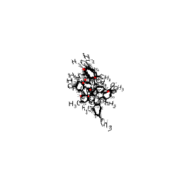 Cc1cc(C)c([C](=O)[Ge]([C](=O)c2c(C)cc(C)cc2C)([C](=O)c2c(C)cc(C)cc2C)[CH]2C=C(C(=O)[O-])C=C[C]2(C(=O)[O-])[Ge]([C](=O)c2c(C)cc(C)cc2C)([C](=O)c2c(C)cc(C)cc2C)[C](=O)c2c(C)cc(C)cc2C)c(C)c1